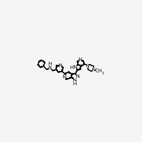 CN1CCN(c2cncc3[nH]c(-c4n[nH]c5cnc(-c6cncc(CNCc7ccccc7)c6)cc45)cc23)CC1